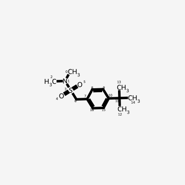 CN(C)S(=O)(=O)Cc1ccc(C(C)(C)C)cc1